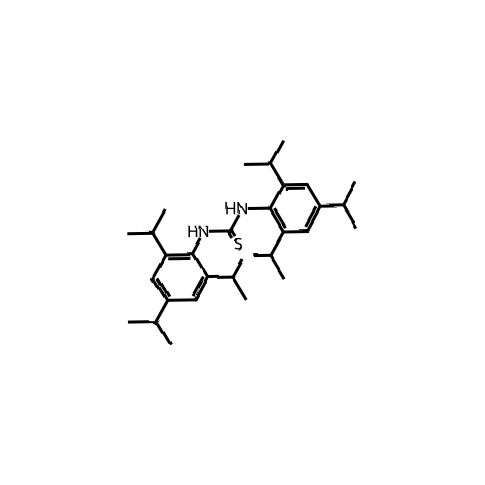 CC(C)c1cc(C(C)C)c(NC(=S)Nc2c(C(C)C)cc(C(C)C)cc2C(C)C)c(C(C)C)c1